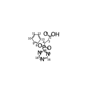 O=C(O)CCP(=O)(Oc1ccccc1)c1ncncn1